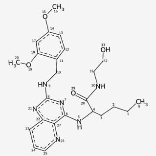 CCCCC(Nc1nc(NCc2ccc(OC)cc2OC)nc2cccnc12)C(=O)NCCO